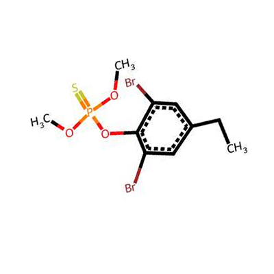 CCc1cc(Br)c(OP(=S)(OC)OC)c(Br)c1